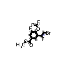 COC(=O)c1cc(F)c(OC(F)F)c(/C(F)=C/Br)c1